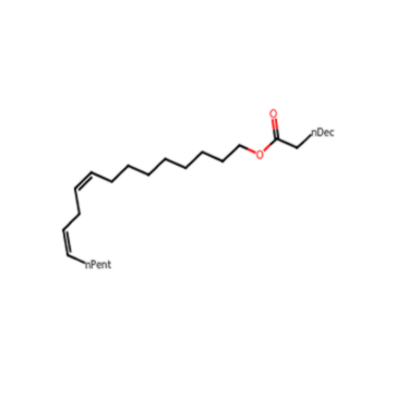 CCCCC/C=C\C/C=C\CCCCCCCCOC(=O)CCCCCCCCCCC